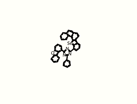 c1ccc(-c2nc(-c3cccc4c3[se]c3c4ccc4ccc5ccccc5c43)nc(-c3cccc4oc5ccccc5c34)n2)cc1